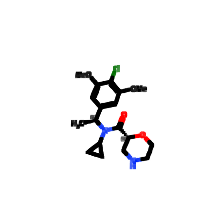 COc1cc([C@H](C)N(C(=O)[C@H]2CNCCO2)C2CC2)cc(OC)c1Cl